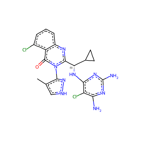 Cc1c[nH]nc1-n1c([C@@H](Nc2nc(N)nc(N)c2Cl)C2CC2)nc2cccc(Cl)c2c1=O